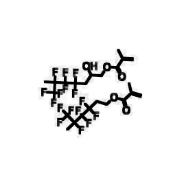 C=C(C)C(=O)OCC(O)CC(F)(F)C(F)(F)C(C)(F)C(F)(F)F.C=C(C)C(=O)OCCC(F)(F)C(F)(F)C(C)(F)C(F)(F)F